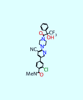 CNC(=O)c1ccc(-c2cnc(N3CCN(C(=O)C(O)(c4ccccc4)C(F)(F)F)CC3)c(C#N)c2)cc1Cl